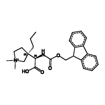 CCC[C@@]1([C@@H](NC(=O)OCC2c3ccccc3-c3ccccc32)C(=O)O)CC[N+](C)(C)C1